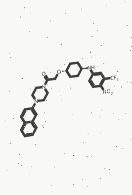 O=C(CO[C@H]1CC[C@H](Nc2ccc([N+](=O)[O-])c(C(F)(F)F)c2)CC1)N1CCN(c2ccc3ccccc3c2)CC1